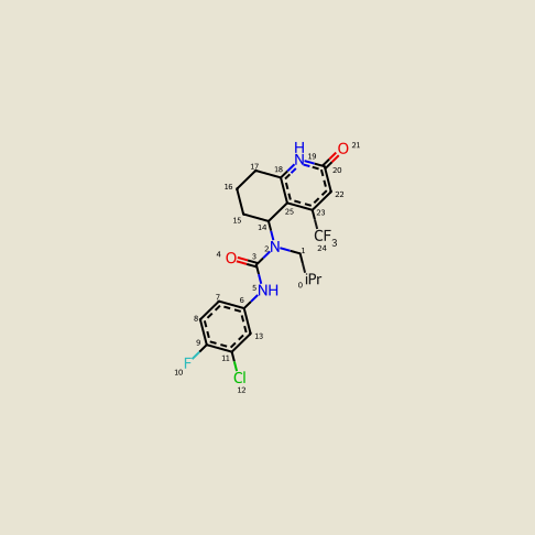 CC(C)CN(C(=O)Nc1ccc(F)c(Cl)c1)C1CCCc2[nH]c(=O)cc(C(F)(F)F)c21